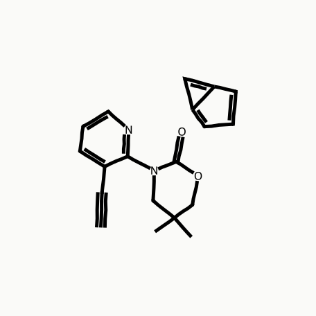 C#Cc1cccnc1N1CC(C)(C)COC1=O.c1cc2cc-2c1